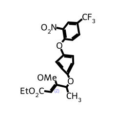 CCOC(=O)/C=C(\OC)C(C)Oc1ccc(Oc2ccc(C(F)(F)F)cc2[N+](=O)[O-])cc1